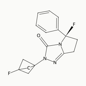 O=c1n(C23CC(F)(C2)C3)nc2n1[C@](F)(c1ccccc1)CC2